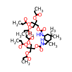 C=CC(=O)OCC(COC(=O)C=C)(COC(=O)C=C)COC(=O)NCC1(C)CC(NC(=O)OCC(COC(=O)C=C)(COC(=O)C=C)COC(=O)CC)CC(C)(C)C1